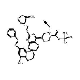 Cc1cc(OCc2ccccc2)cc2c1CCCC21CCc2c(nc(OC[C@@H]3CCCN3C)nc2N2CCN(C(=O)OC(C)(C)C)[C@@H](CC#N)C2)C1